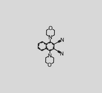 N#Cc1c(C#N)c(N2CCOCC2)c2ccccc2c1N1CCOCC1